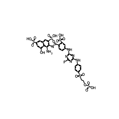 Nc1c(N=Nc2ccc(Nc3nc(F)nc(Nc4ccc(S(=O)(=O)CCOS(=O)(=O)O)cc4)n3)cc2S(=O)(=O)O)c(S(=O)(=O)O)cc2cc(S(=O)(=O)O)cc(O)c12